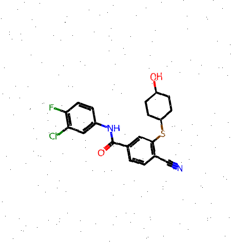 N#Cc1ccc(C(=O)Nc2ccc(F)c(Cl)c2)cc1SC1CCC(O)CC1